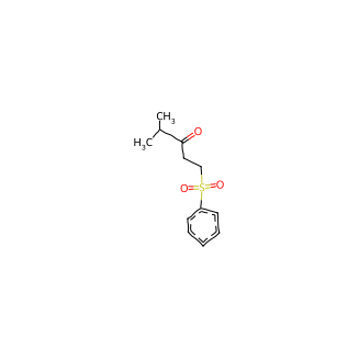 CC(C)C(=O)CCS(=O)(=O)c1ccccc1